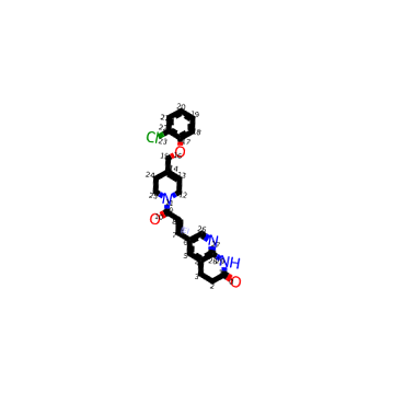 O=C1CCc2cc(/C=C/C(=O)N3CC=C(COc4ccccc4Cl)CC3)cnc2N1